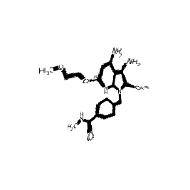 CNC(=O)C1CCC(CN2C(O)C(N)C3C(N)C[C@H](OCCOC)NC32)CC1